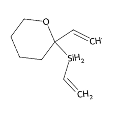 [CH]=CC1([SiH2]C=C)CCCCO1